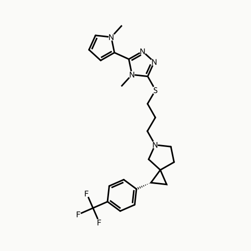 Cn1cccc1-c1nnc(SCCCN2CCC3(C[C@@H]3c3ccc(C(F)(F)F)cc3)C2)n1C